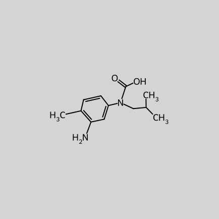 Cc1ccc(N(CC(C)C)C(=O)O)cc1N